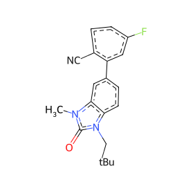 Cn1c(=O)n(CC(C)(C)C)c2ccc(-c3cc(F)ccc3C#N)cc21